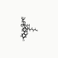 CCCCCNc1nc(-c2ccc(C)cc2C)ncc1OC(=O)OCC(C)C